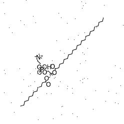 CCCCCCCCCCCCCCCCCCCCCCC(=O)O[C@H](COC(=O)CCCCCCCCCCC)COP(=O)(O)OCC[N+](C)(C)C